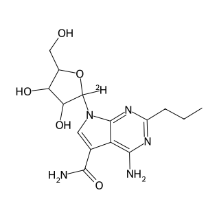 [2H]C1(n2cc(C(N)=O)c3c(N)nc(CCC)nc32)OC(CO)C(O)C1O